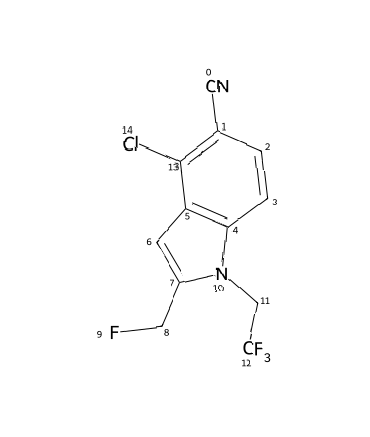 N#Cc1ccc2c(cc(CF)n2CC(F)(F)F)c1Cl